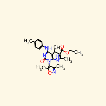 CCOC(=O)C1=C(C)Nc2c(c(Nc3ccc(C)cc3)nc(=O)n2-c2c(C)noc2C)C1C